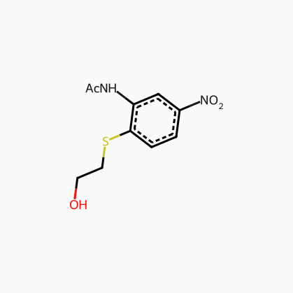 CC(=O)Nc1cc([N+](=O)[O-])ccc1SCCO